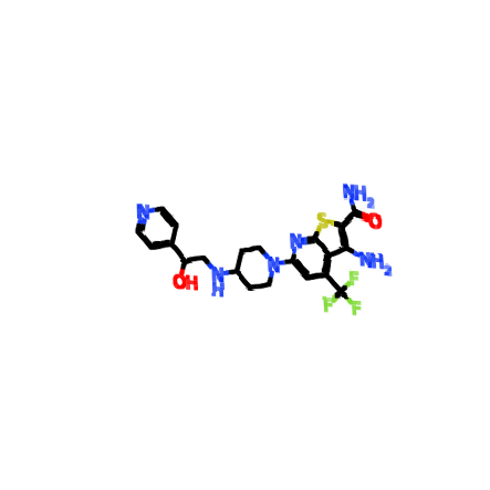 NC(=O)c1sc2nc(N3CCC(NCC(O)c4ccncc4)CC3)cc(C(F)(F)F)c2c1N